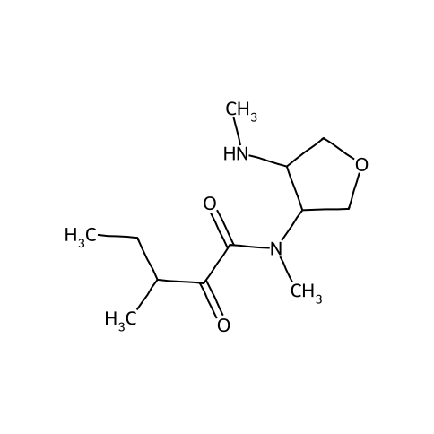 CCC(C)C(=O)C(=O)N(C)C1COCC1NC